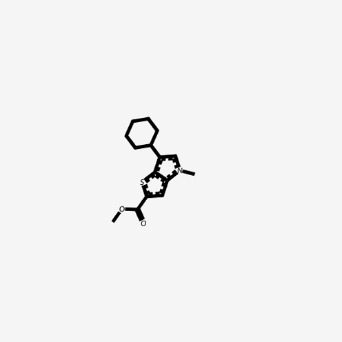 COC(=O)c1cc2c(s1)c(C1CCCCC1)cn2C